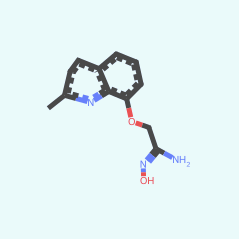 Cc1ccc2cccc(OCC(N)=NO)c2n1